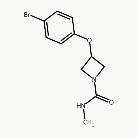 CNC(=O)N1CC(Oc2ccc(Br)cc2)C1